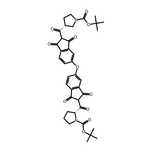 CC(C)(C)OC(=O)N1CC[C@@H](C(=O)C2C(=O)c3ccc(Oc4ccc5c(c4)C(=O)C(C(=O)[C@H]4CCCN4C(=O)OC(C)(C)C)C5=O)cc3C2=O)C1